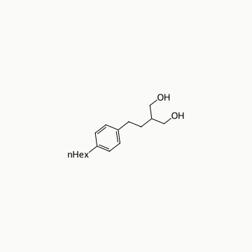 CCCCCCc1ccc(CCC(CO)CO)cc1